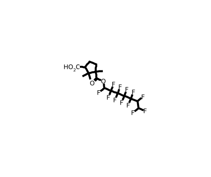 CC1(C(=O)OC(F)C(F)(F)C(F)(F)C(F)(F)C(F)(F)C(F)C(F)F)CCC(C(=O)O)C1(C)C